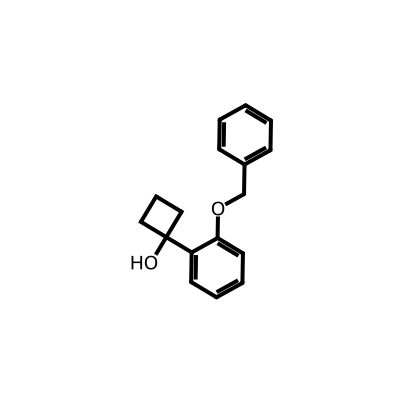 OC1(c2ccccc2OCc2ccccc2)CCC1